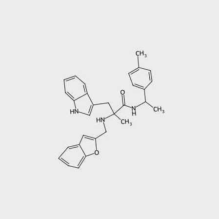 Cc1ccc(C(C)NC(=O)C(C)(Cc2c[nH]c3ccccc23)NCc2cc3ccccc3o2)cc1